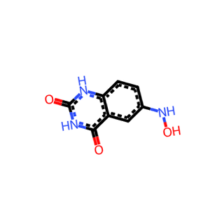 O=c1[nH]c(=O)c2cc(NO)ccc2[nH]1